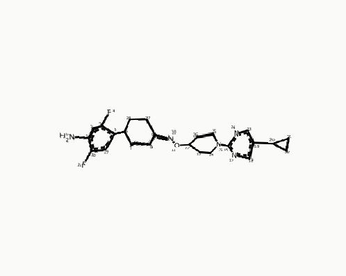 Nc1cc(F)c(C2CCC(=NOC3CCN(c4ncc(C5CC5)cn4)CC3)CC2)cc1F